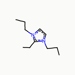 CCCn1cc[n+](CCC)c1CC